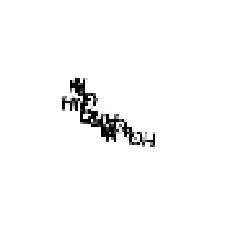 Cn1cc(C(=O)Nc2ccc3cc(-c4ccnc(OC5CC(O)C5)n4)[nH]c3c2)cn1